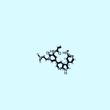 C=CC(=O)Nc1cc(-c2cnc3[nH]cc(-c4ccnc(NC)c4)c3c2)cn(CCN(C)C)c1=O